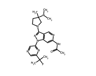 CC(=O)Nc1cc2c(cn1)c(N1CCC(C)(N(C)C)C1)nn2-c1cncc(C(C)(C)F)n1